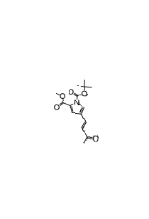 COC(=O)c1cc(/C=C/C(C)=O)cn1C(=O)OC(C)(C)C